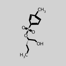 CCC[C@@H](CO)OS(=O)(=O)c1ccc(C)cc1